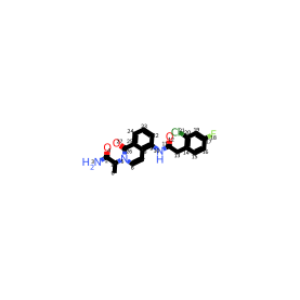 CC(C(N)=O)n1ccc2c(NC(=O)Cc3ccc(F)cc3Cl)cccc2c1=O